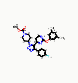 Cc1cc(C)cc(Oc2nccc(-c3c(-c4ccc(F)cc4)nnn3C3CCN(C(=O)OC(C)(C)C)CC3)n2)c1